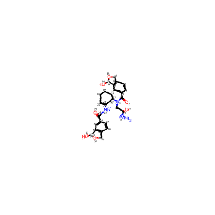 NC(=O)CN(C(=O)c1ccc2c(c1)B(O)OC2)[C@@H]1CCCC[C@H]1NC(=O)c1ccc2c(c1)B(O)OC2